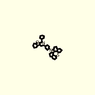 c1ccc(-c2nc(-c3ccc(-n4c5ccc6cccc7sc8cccc9ccc4c(c98)c5c67)cc3)cc3c2oc2ccccc23)cc1